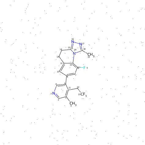 Cc1cncc(-c2cc(F)c3c(c2)CCc2nnc(C)n2-3)c1CC(F)(F)F